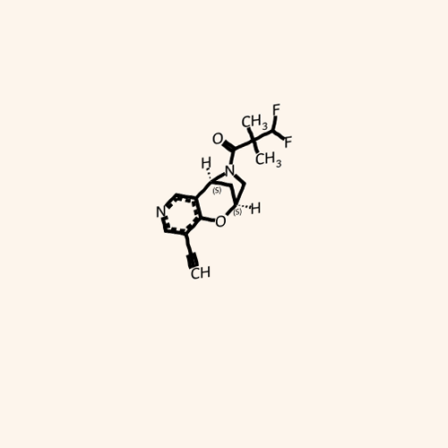 C#Cc1cncc2c1O[C@H]1C[C@@H]2N(C(=O)C(C)(C)C(F)F)C1